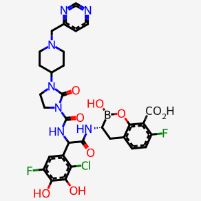 O=C(O)c1c(F)ccc2c1OB(O)[C@@H](NC(=O)C(NC(=O)N1CCN(C3CCN(Cc4ccncn4)CC3)C1=O)c1cc(F)c(O)c(O)c1Cl)C2